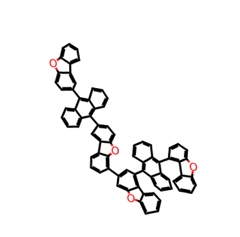 c1ccc2c(c1)oc1ccc(-c3c4ccccc4c(-c4ccc5oc6c(-c7cc(-c8c9ccccc9c(-c9cccc%10oc%11ccccc%11c9%10)c9ccccc89)c8c(c7)oc7ccccc78)cccc6c5c4)c4ccccc34)cc12